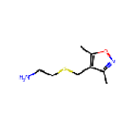 Cc1noc(C)c1CSCCN